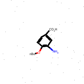 CCCCOc1ccc(C(=O)O)cc1N